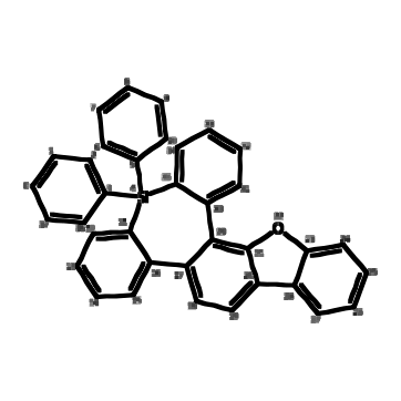 c1ccc([Si]2(c3ccccc3)c3ccccc3-c3ccc4c(oc5ccccc54)c3-c3ccccc32)cc1